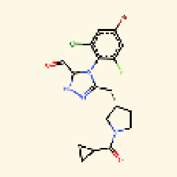 O=CC1NN=C(C[C@@H]2CCN(C(=O)C3CC3)C2)N1c1c(F)cc(Br)cc1Cl